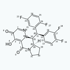 O=C1c2c(O)c(=O)cnn2[C@@H]([C@H](c2ccc(F)c(F)c2)c2cc(F)ccc2F)[C@H]2CCCN12